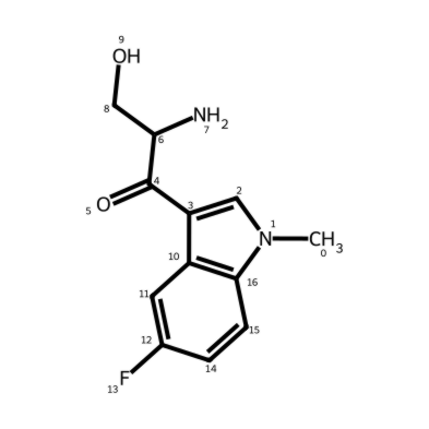 Cn1cc(C(=O)C(N)CO)c2cc(F)ccc21